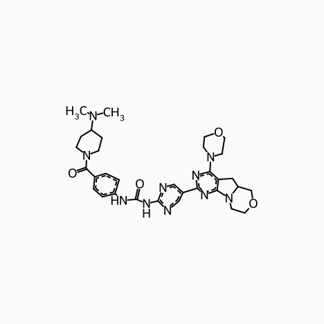 CN(C)C1CCN(C(=O)c2ccc(NC(=O)Nc3ncc(-c4nc(N5CCOCC5)c5c(n4)N4CCOCC4C5)cn3)cc2)CC1